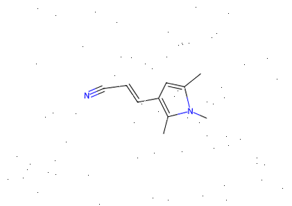 Cc1cc(C=CC#N)c(C)n1C